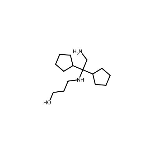 NCC(NCCCO)(C1CCCC1)C1CCCC1